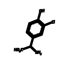 NC(C(=O)O)c1ccc(O)c(Cl)c1